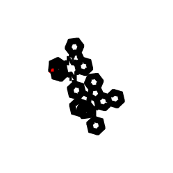 c1ccc(N(c2ccccc2)c2cc3ccccc3c3c2C2(c4ccccc4-c4ccc(N(c5ccccc5)c5cccc6c7ccccc7n(-c7ccccc7)c56)cc42)c2ccccc2-3)cc1